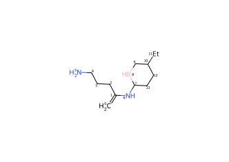 C=C(CCCN)NC1BCC(CC)CC1